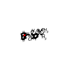 CCN(c1ccc(Cl)c(C(=O)NCC23CC4CC(CC(C4)C2)C3)c1)N(C)C